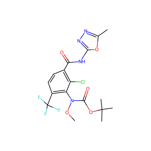 CON(C(=O)OC(C)(C)C)c1c(C(F)(F)F)ccc(C(=O)Nc2nnc(C)o2)c1Cl